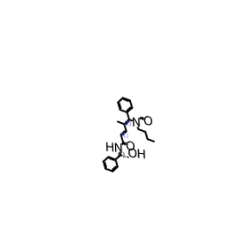 CCCCN(C=O)/C(=C(C)\C=C\C(=O)N[C@H](CO)c1ccccc1)c1ccccc1